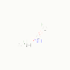 CC(=O)N[C@H](CCl)CC(=O)Nc1ccc(OCc2cccc(F)c2)cc1